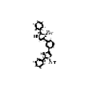 CCCN1C=C(c2cccc(C3=CNC(c4ccccc4)N3CCC)c2)NC1c1ccccc1